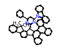 CC1(C)c2ccccc2-c2ccc3c(c21)C(c1nc(-c2ccccc2)cc(-n2c4ccccc4c4ccccc42)n1)c1c-3c2ccccc2c2c3ccccc3c3ccccc3c12